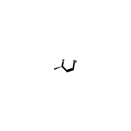 CC/C=C\[C@H](C)F